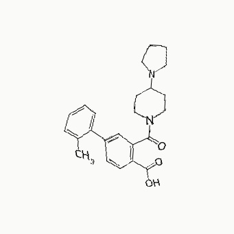 Cc1ccccc1-c1ccc(C(=O)O)c(C(=O)N2CCC(N3CCCC3)CC2)c1